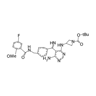 COc1ccc(F)cc1C(=O)NCc1ccc(C(=N)c2c(N)ncnc2NC2CN(C(=O)OC(C)(C)C)C2)cc1